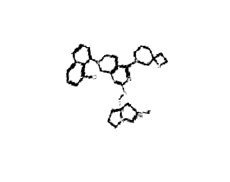 F[C@H]1CN2CCC[C@@]2(COc2nc3c(c(N4CCCC5(CCO5)C4)n2)CCN(c2cccc4cccc(Cl)c24)C3)C1